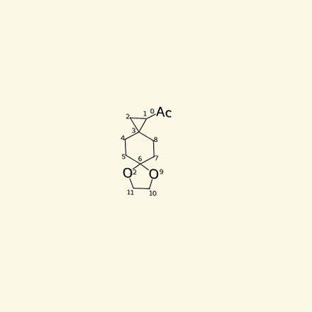 CC(=O)C1CC12CCC1(CC2)OCCO1